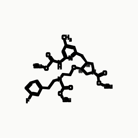 Cc1cc(C[C@H]2CN(C(=O)OC(C)(C)C)C[C@H]2OCCN(CCc2cccc(F)c2)C(=O)OC(C)(C)C)nc(NC(=O)OC(C)(C)C)c1